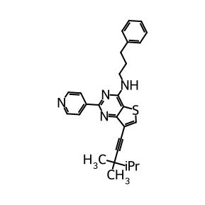 CC(C)C(C)(C)C#Cc1csc2c(NCCCc3ccccc3)nc(-c3ccncc3)nc12